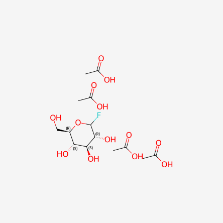 CC(=O)O.CC(=O)O.CC(=O)O.CC(=O)O.OC[C@H]1OC(F)[C@H](O)[C@@H](O)[C@@H]1O